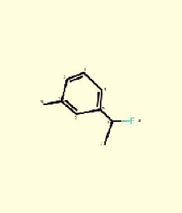 Cc1cccc(C(C)F)c1